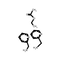 CCOC(C)=O.NCc1ccccn1.NCc1ccccn1